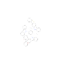 N#Cc1c(-n2c3ccccc3c3cc4sc5ccccc5c4cc32)c(C#N)c(-n2c3ccccc3c3ccccc32)c(-c2ccc3oc4ccccc4c3c2)c1-n1c2ccccc2c2ccccc21